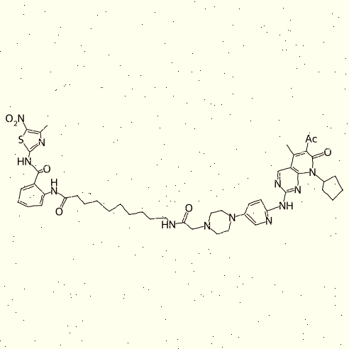 CC(=O)c1c(C)c2cnc(Nc3ccc(N4CCN(CC(=O)NCCCCCCCCCC(=O)Nc5ccccc5C(=O)Nc5nc(C)c([N+](=O)[O-])s5)CC4)cn3)nc2n(C2CCCC2)c1=O